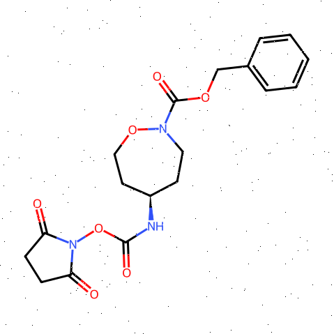 O=C(N[C@H]1CCON(C(=O)OCc2ccccc2)CC1)ON1C(=O)CCC1=O